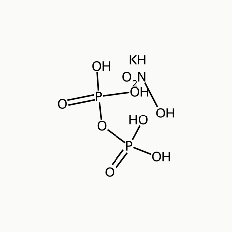 O=P(O)(O)OP(=O)(O)O.O=[N+]([O-])O.[KH]